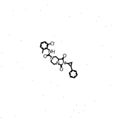 Cc1cccc(Cl)c1NC(=O)N1CCN2C(=O)N(C3CC3c3ccccc3)C(=O)C2C1